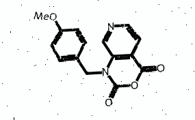 COc1ccc(Cn2c(=O)oc(=O)c3ccncc32)cc1